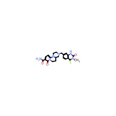 Cn1c(=O)[nH]c2cc(CN3CCN4c5ccc(C(N)=O)c(=O)n5CCC4C3)ccc2c1=S